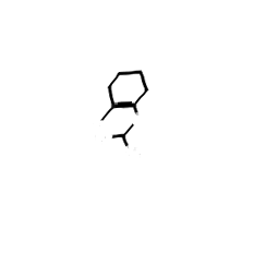 FC(F)(F)C(OC1=C(Cl)CCCC1)C(F)(F)F